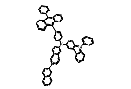 c1ccc(-c2c3ccccc3c(-c3ccc(N(c4ccc5cc(-c6ccc7ccccc7c6)ccc5c4)c4ccc5c(c4)c4ccccc4n5-c4ccccc4)cc3)c3ccccc23)cc1